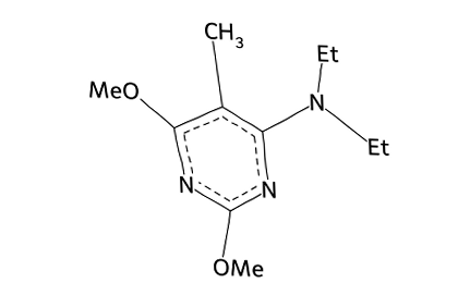 CCN(CC)c1nc(OC)nc(OC)c1C